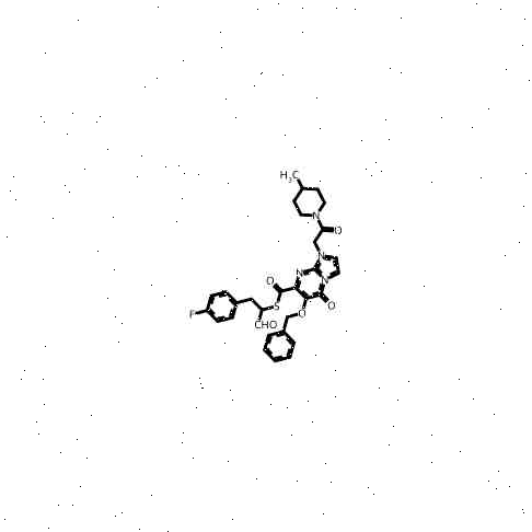 CC1CCN(C(=O)Cn2ccn3c(=O)c(OCc4ccccc4)c(C(=O)SC(C=O)Cc4ccc(F)cc4)nc23)CC1